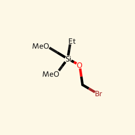 CC[Si](OC)(OC)OCBr